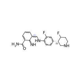 N=C1C(C(N)=O)=CC=C/C1=C/Nc1ccc([C@H]2CNCCC2F)cc1F